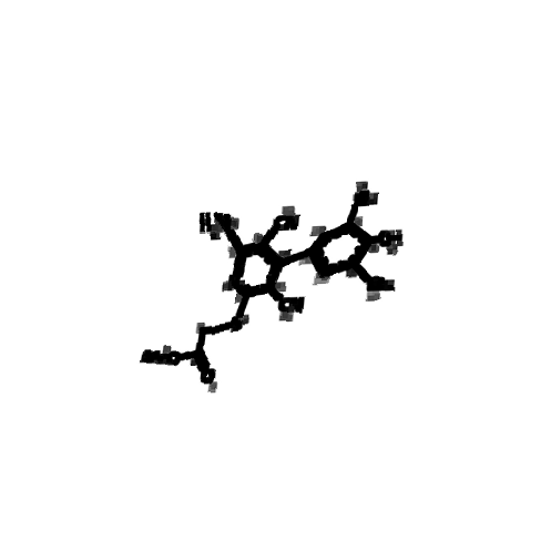 COC(=O)CSc1nc(N)c(C#N)c(-c2cc(C(C)(C)C)c(O)c(C(C)(C)C)c2)c1C#N